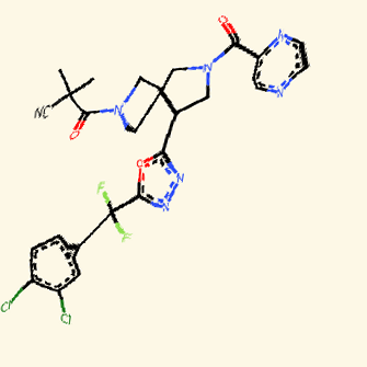 CC(C)(C#N)C(=O)N1CC2(CN(C(=O)c3cnccn3)CC2c2nnc(C(F)(F)c3ccc(Cl)c(Cl)c3)o2)C1